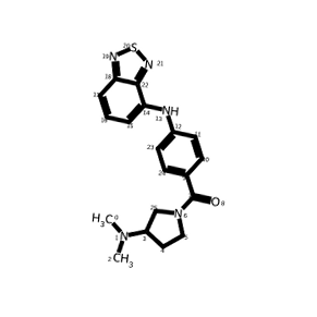 CN(C)C1CCN(C(=O)c2ccc(Nc3cccc4nsnc34)cc2)C1